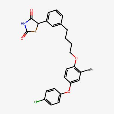 CCCc1cc(Oc2ccc(Cl)cc2)ccc1OCCCCc1cccc(C2SC(=O)NC2=O)c1